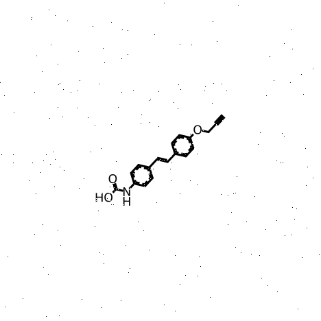 C#CCOc1ccc(/C=C/c2ccc(NC(=O)O)cc2)cc1